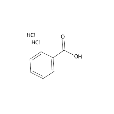 Cl.Cl.O=C(O)c1ccccc1